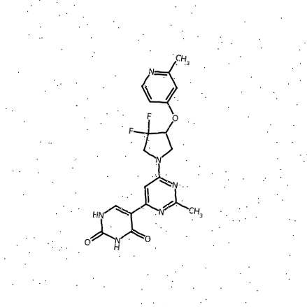 Cc1cc(OC2CN(c3cc(-c4c[nH]c(=O)[nH]c4=O)nc(C)n3)CC2(F)F)ccn1